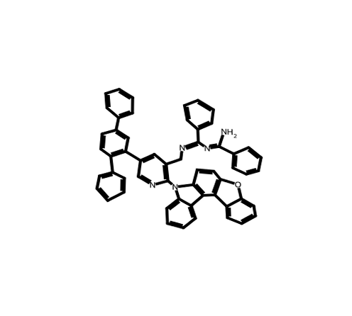 N/C(=N\C(=N/Cc1cc(-c2cc(-c3ccccc3)ccc2-c2ccccc2)cnc1-n1c2ccccc2c2c3c(ccc21)oc1ccccc13)c1ccccc1)c1ccccc1